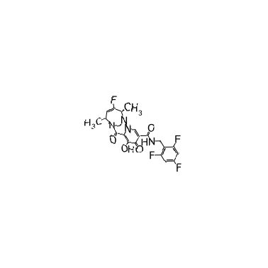 C[C@@H]1C(F)=C[C@H](C)N2CN1n1cc(C(=O)NCc3c(F)cc(F)cc3F)c(=O)c(O)c1C2=O